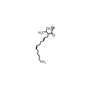 CCCCC/C=C\CC/C=C/CN(C(=O)C1CC1)C(C)C